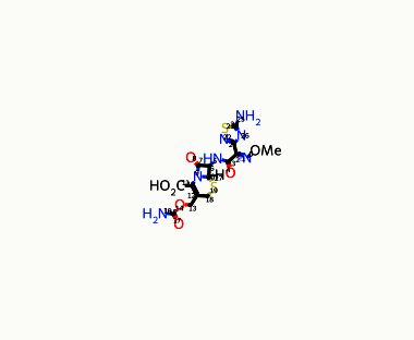 CO/N=C(/C(=O)NC1C(=O)N2C(C(=O)O)=C(COC(N)=O)CS[C@H]12)c1nsc(N)n1